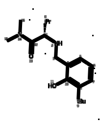 CC(C)[C@H](NCc1cccc(C(C)(C)C)c1O)C(=O)N(C)C